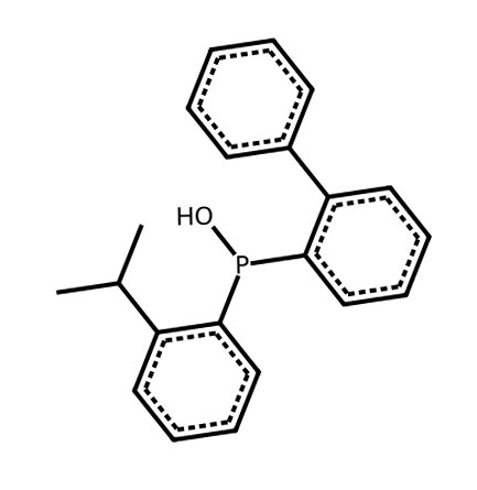 CC(C)c1ccccc1P(O)c1ccccc1-c1ccccc1